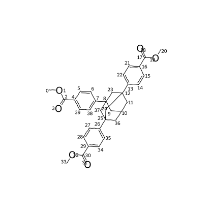 COC(=O)c1ccc(C23CC4CC(c5ccc(C(=O)OC)cc5)(C2)CC(c2ccc(C(=O)OC)cc2)(C4)C3)cc1